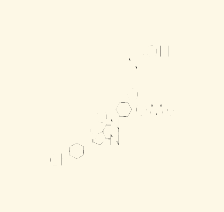 COc1cc(-n2cnc3cc(-c4ccc(Cl)cc4)sc3c2=O)ccc1OCCCN1CC[C@@H](O)C1